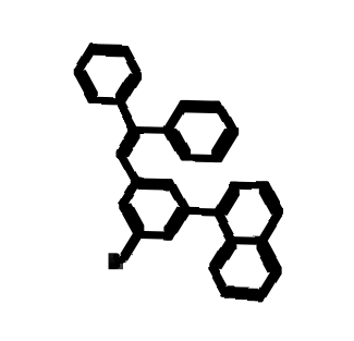 Brc1cc(C=C(c2ccccc2)c2ccccc2)cc(-c2cccc3ccccc23)c1